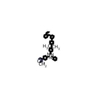 C=C/C=C(\C=C/C)c1ccc(-c2nc(-c3ccccc3)nc(-c3ccc(C(C)(C)c4ccc(-c5cccc(-c6cccc7ccccc67)c5)cc4)cc3)n2)cc1